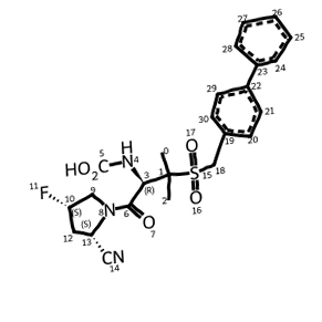 CC(C)([C@H](NC(=O)O)C(=O)N1C[C@@H](F)C[C@H]1C#N)S(=O)(=O)Cc1ccc(-c2ccccc2)cc1